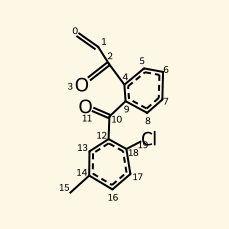 C=CC(=O)c1ccccc1C(=O)c1cc(C)ccc1Cl